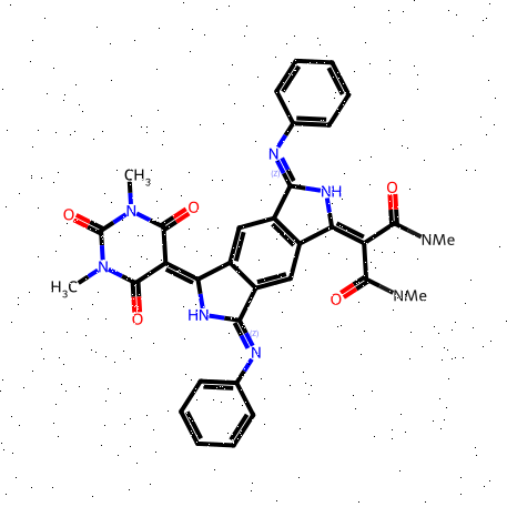 CNC(=O)C(C(=O)NC)=C1N/C(=N\c2ccccc2)c2cc3c(cc21)/C(=N/c1ccccc1)NC3=C1C(=O)N(C)C(=O)N(C)C1=O